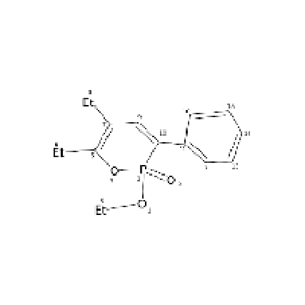 CCOP1(=O)OC(CC)=C(CC)C=C1c1ccccc1